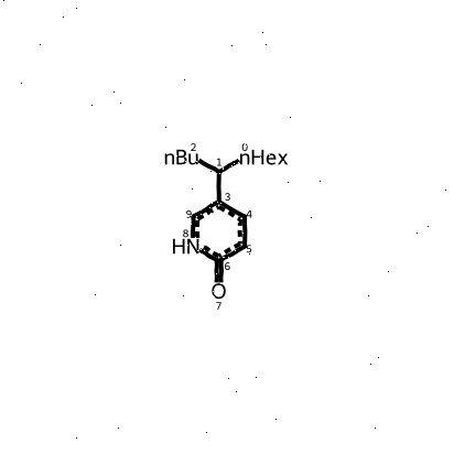 CCCCCCC(CCCC)c1ccc(=O)[nH]c1